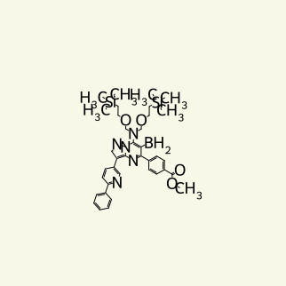 Bc1c(-c2ccc(C(=O)OC)cc2)nc2c(-c3ccc(-c4ccccc4)nc3)cnn2c1N(COCC[Si](C)(C)C)COCC[Si](C)(C)C